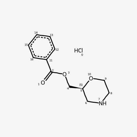 Cl.O=C(OC[C@@H]1CNCCO1)c1ccccc1